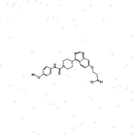 CCN(CC)CCOc1ccc2c(C3CCN(C(=O)Nc4ccc(OC(C)C)cc4)CC3)ncnc2c1